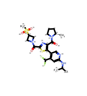 CCC(Nc1cc(C(F)F)c(-c2sc(C(=O)N3CC(S(C)(=O)=O)C3)nc2C(=O)N2CCC[C@@H]2C)cn1)C(F)(F)F